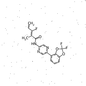 C=C/C(F)=C(\C)C(=O)Nc1cnc(-c2cccc3c2OC(F)(F)O3)cn1